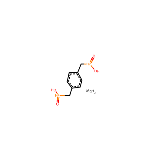 O=[PH](O)Cc1ccc(C[PH](=O)O)cc1.[MgH2]